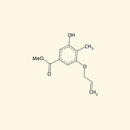 C=CCOc1cc(C(=O)OC)cc(O)c1C